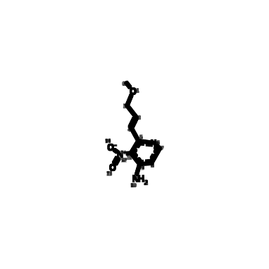 COCC=Cc1nccc(N)c1[N+](=O)[O-]